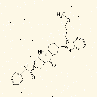 COCCCn1c([C@@H]2CCCN(C(=O)[C@@H]3CN(C(=O)Nc4ccccc4)C[C@H]3N)C2)nc2ccccc21